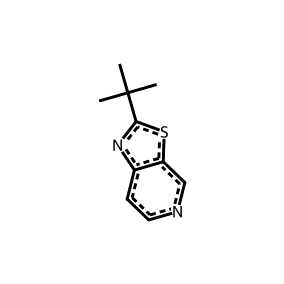 CC(C)(C)c1nc2ccncc2s1